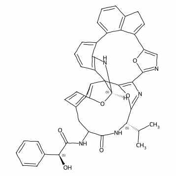 CC(C)[C@@H]1NC(=O)C(NC(=O)[C@@H](O)c2ccccc2)Cc2ccc3c(c2)C24c5cccc(c5N[C@H]2O3)-c2cccc3c2C(=CC3)c2cnc(o2)-c2nc1oc24